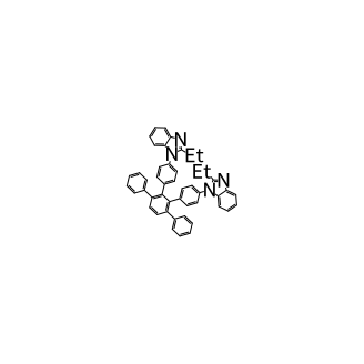 CCc1nc2ccccc2n1-c1ccc(-c2c(-c3ccccc3)ccc(-c3ccccc3)c2-c2ccc(-n3c(CC)nc4ccccc43)cc2)cc1